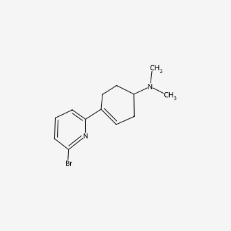 CN(C)C1CC=C(c2cccc(Br)n2)CC1